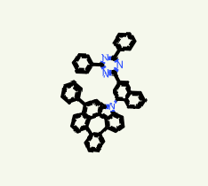 c1ccc(-c2nc(-c3ccccc3)nc(-c3cc(-n4c5cccc6c5c5c7c(cccc7c(-c7ccccc7)cc54)-c4ccccc4-6)c4ccccc4c3)n2)cc1